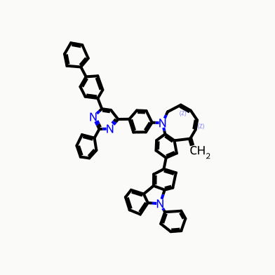 C=C1/C=C\C=C/CN(c2ccc(-c3cc(-c4ccc(-c5ccccc5)cc4)nc(-c4ccccc4)n3)cc2)c2ccc(-c3ccc4c(c3)c3ccccc3n4-c3ccccc3)cc21